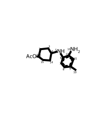 CC(=O)OC1CCC(Nc2ccc(C)cc2N)CC1